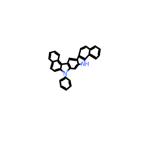 c1ccc(-n2c3cc4[nH]c5c6ccccc6ccc5c4cc3c3c4ccccc4ccc32)cc1